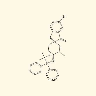 C=C1c2cc(Br)ccc2C[C@@]12CC[C@H](O[Si](c1ccccc1)(c1ccccc1)C(C)(C)C)[C@@H](C)C2